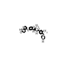 CC12Oc3ccc(Oc4ccnc5c4CCC(=O)N5)cc3[C@H]1[C@@H]2NC(=O)c1ccc(CN2CCNCC2)c(C(F)(F)F)c1